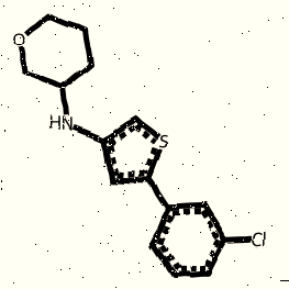 Clc1cccc(-c2cc(NC3CCCOC3)cs2)c1